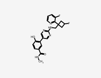 CNC(=O)c1ccc(O)c(-c2cnc(NCC3(c4ncccc4F)CC(F)C3)nc2)c1